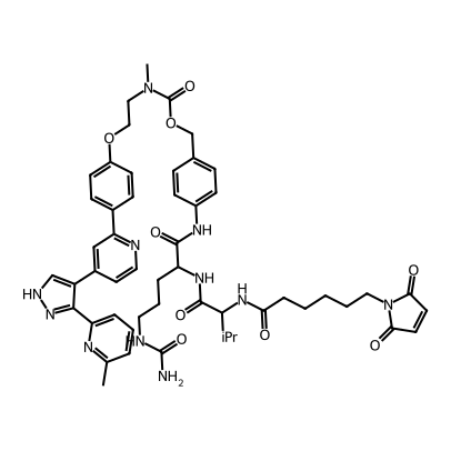 Cc1cccc(-c2n[nH]cc2-c2ccnc(-c3ccc(OCCN(C)C(=O)OCc4ccc(NC(=O)C(CCCNC(N)=O)NC(=O)C(NC(=O)CCCCCN5C(=O)C=CC5=O)C(C)C)cc4)cc3)c2)n1